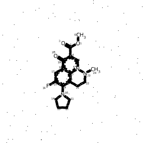 COC(=O)c1cn2c3c(c(N4CCCC4)c(F)cc3c1=O)CCN2C